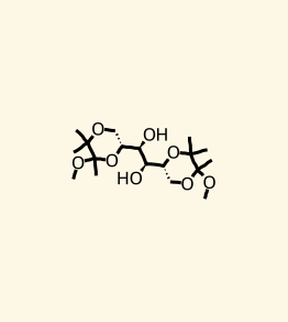 COC1(C)OC[C@H]([C@@H](O)[C@H](O)[C@H]2COC(C)(C)C(C)(OC)O2)OC1(C)C